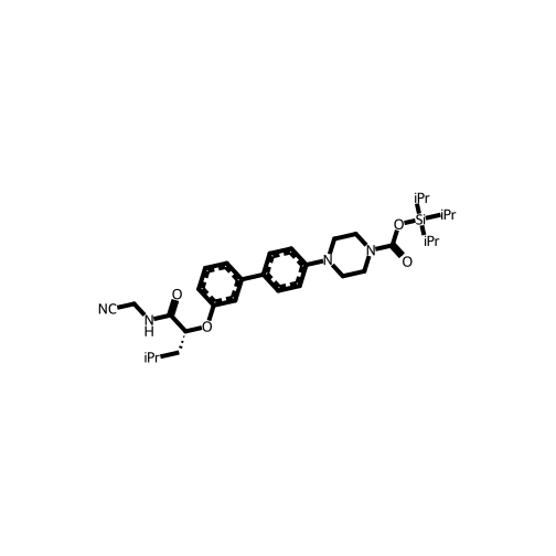 CC(C)C[C@@H](Oc1cccc(-c2ccc(N3CCN(C(=O)O[Si](C(C)C)(C(C)C)C(C)C)CC3)cc2)c1)C(=O)NCC#N